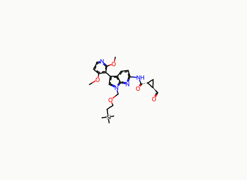 COc1ccnc(OC)c1-c1cn(COCC[Si](C)(C)C)c2nc(NC(=O)[C@@H]3C[C@H]3C=O)ccc12